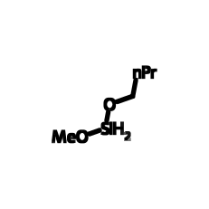 CCCCO[SiH2]OC